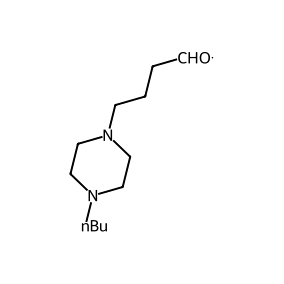 CCCCN1CCN(CCC[C]=O)CC1